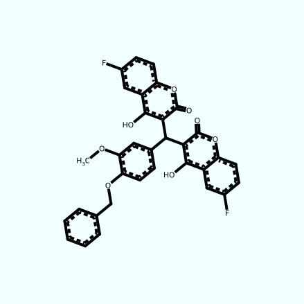 COc1cc(C(c2c(O)c3cc(F)ccc3oc2=O)c2c(O)c3cc(F)ccc3oc2=O)ccc1OCc1ccccc1